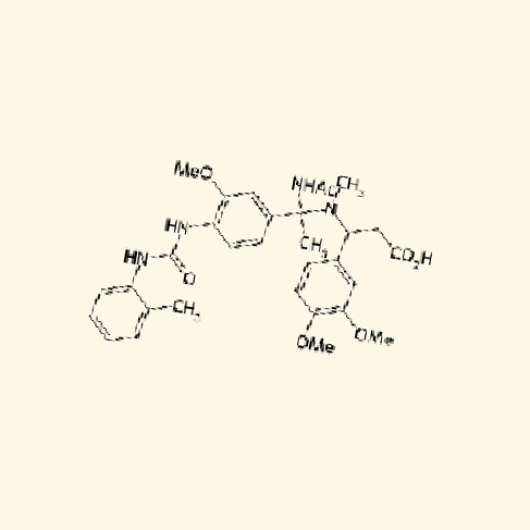 COc1cc(C(C)(NC(C)=O)N(C)C(CC(=O)O)c2ccc(OC)c(OC)c2)ccc1NC(=O)Nc1ccccc1C